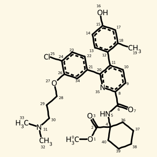 COC(=O)C1(NC(=O)c2ccc(-c3ccc(O)cc3C)c(-c3ccc(Cl)c(OCCCN(C)C)c3)n2)CCCCC1